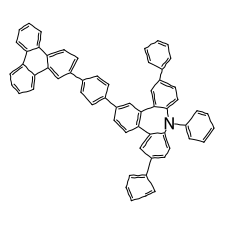 c1ccc(-c2ccc3c(c2)-c2ccc(-c4ccc(-c5ccc6c7ccccc7c7ccccc7c6c5)cc4)cc2-c2cc(-c4ccccc4)ccc2N3c2ccccc2)cc1